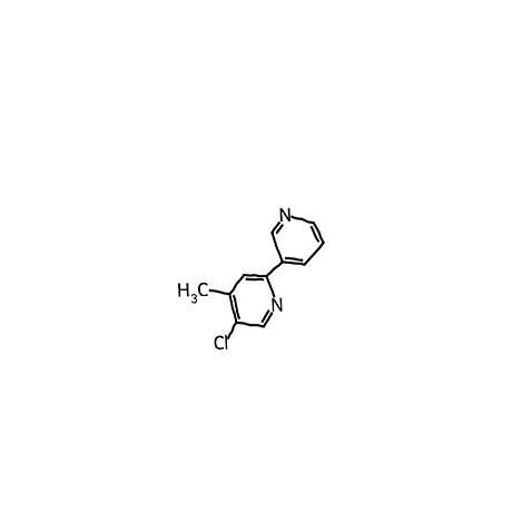 Cc1cc(-c2cccnc2)ncc1Cl